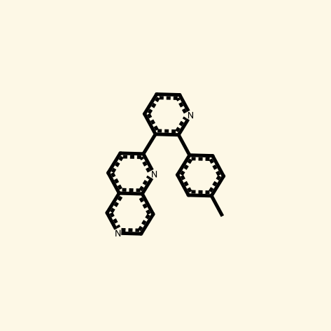 Cc1ccc(-c2ncccc2-c2ccc3cnccc3n2)cc1